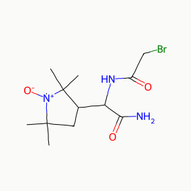 CC1(C)CC(C(NC(=O)CBr)C(N)=O)C(C)(C)[N+]1[O-]